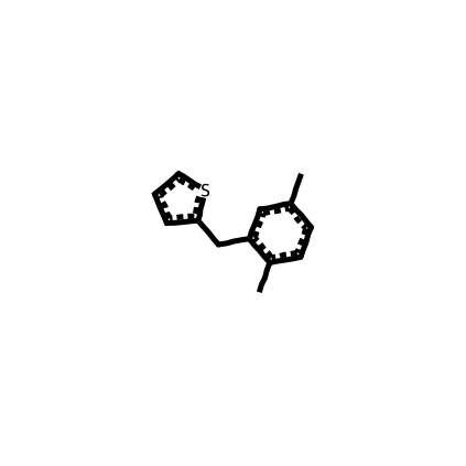 Cc1ccc(C)c(Cc2cccs2)c1